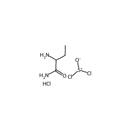 CCC(N)C(N)=O.Cl.[O-][S+](Cl)Cl